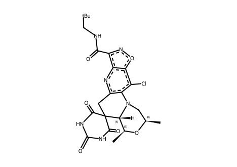 C[C@@H]1CN2c3c(nc4c(C(=O)NCC(C)(C)C)noc4c3Cl)CC3(C(=O)NC(=O)NC3=O)[C@H]2[C@H](C)O1